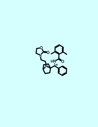 Cc1cccc(C)c1C(=O)N[C@H](c1ccccc1)C12CCC(CC1)N2CCN1CCOC1=O